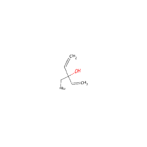 C=CC(O)(C=C)CCCCC